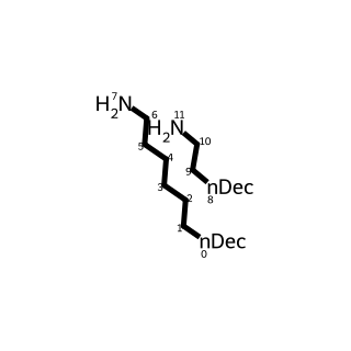 CCCCCCCCCCCCCCCCN.CCCCCCCCCCCCN